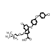 C[Si](C)(C)CCOCn1c(C(=O)O)cc2c(Sc3ccc(Oc4ccc(Cl)cc4)cc3)cc(Cl)cc21